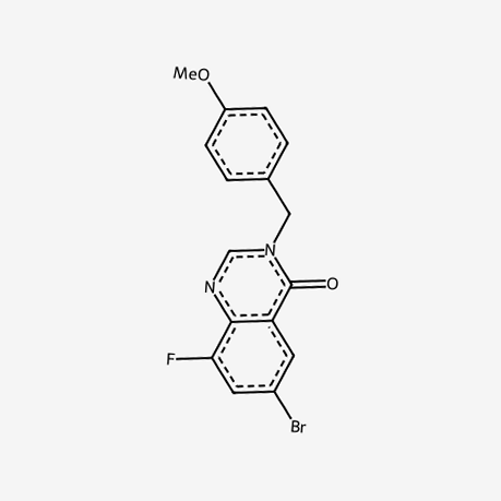 COc1ccc(Cn2cnc3c(F)cc(Br)cc3c2=O)cc1